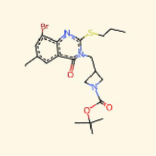 CCCSc1nc2c(Br)cc(C)cc2c(=O)n1CC1CN(C(=O)OC(C)(C)C)C1